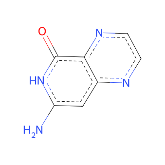 Nc1cc2nccnc2c(=O)[nH]1